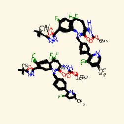 CC(C)(C)OC(=O)NC1CC(F)(F)c2cc(F)c(-c3nnc(C(C)(C)C#N)o3)cc2N(Cc2ccc(-c3ncc(C(F)(F)F)cc3F)cc2)C1=O.CC(C)(C)OC(=O)N[C@@H]1CC(F)(F)c2cc(F)c(-c3nnc(C(C)(C)C#N)o3)cc2N(Cc2ccc(-c3ncc(C(F)(F)F)cc3F)cc2)C1=O